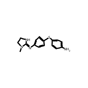 CN1CCN/C1=N\c1ccc(Sc2ccc(N)cc2)cc1